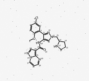 COc1ccc(Cl)cc1-c1nn(CC2CCCN2)cc1NC(=O)c1cnn2cccnc12